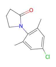 Cc1cc(Cl)cc(C)c1N1CCCC1=O